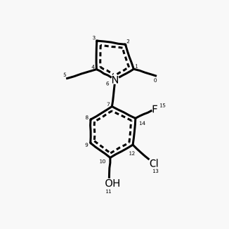 Cc1ccc(C)n1-c1ccc(O)c(Cl)c1F